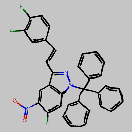 O=[N+]([O-])c1cc2c(/C=C/c3ccc(F)c(F)c3)nn(C(c3ccccc3)(c3ccccc3)c3ccccc3)c2cc1F